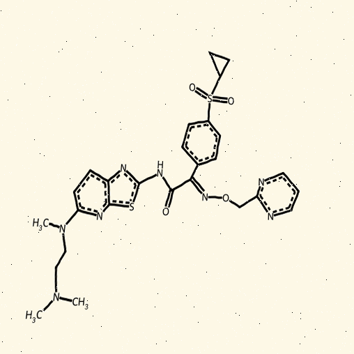 CN(C)CCN(C)c1ccc2nc(NC(=O)/C(=N/OCc3ncccn3)c3ccc(S(=O)(=O)C4CC4)cc3)sc2n1